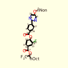 CCCCCCCCCOc1cnc(-c2ccc(C(=O)Oc3ccc(C(=O)OC(CCCCCCCC)C(F)(F)F)cc3F)cc2)nc1